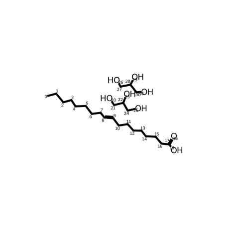 CCCCCCCCC=CCCCCCCCC(=O)O.OCC(O)CO.OCC(O)CO